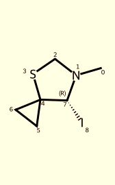 CN1CSC2(CC2)[C@H]1I